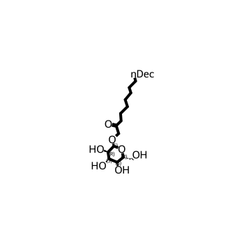 CCCCCCCCCCCCCCCCCC(=O)CO[C@H]1O[C@H](CO)[C@@H](O)[C@H](O)[C@H]1O